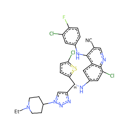 CCN1CCC(n2cc([C@@H](Nc3cc(Cl)c4ncc(C#N)c(Nc5ccc(F)c(Cl)c5)c4c3)c3ccc(Cl)s3)nn2)CC1